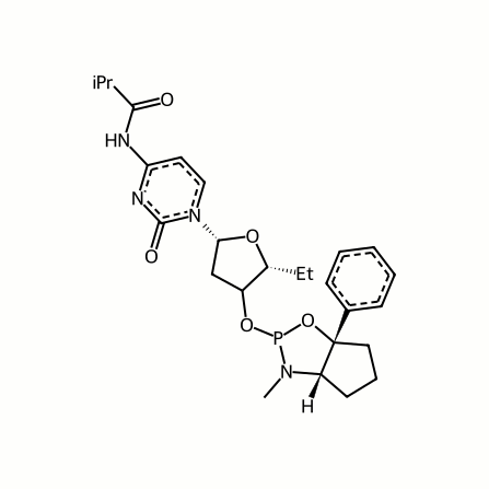 CC[C@H]1O[C@@H](n2ccc(NC(=O)C(C)C)nc2=O)CC1OP1O[C@]2(c3ccccc3)CCC[C@@H]2N1C